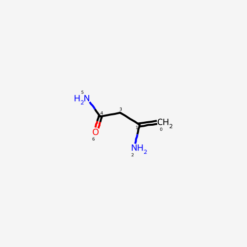 C=C(N)CC(N)=O